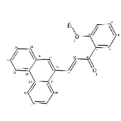 CCOc1ccccc1C(=O)C=Cc1cc2ccccc2c2ccccc12